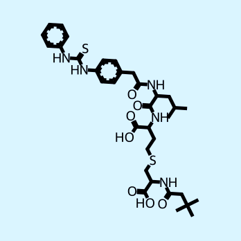 CC(C)CC(NC(=O)Cc1ccc(NC(=S)Nc2ccccc2)cc1)C(=O)NC(CCSCC(NC(=O)CC(C)(C)C)C(=O)O)C(=O)O